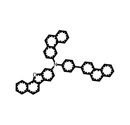 c1ccc2c(c1)ccc1cc(-c3ccc(N(c4ccc5c(c4)oc4c6ccccc6ccc54)c4ccc5ccc6ccccc6c5c4)cc3)ccc12